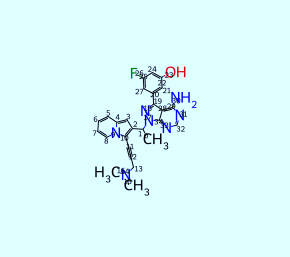 CC(c1cc2ccccn2c1C#CCN(C)C)n1nc(-c2cc(O)cc(F)c2)c2c(N)ncnc21